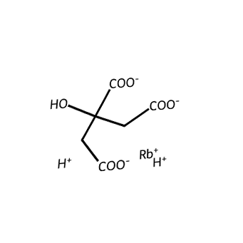 O=C([O-])CC(O)(CC(=O)[O-])C(=O)[O-].[H+].[H+].[Rb+]